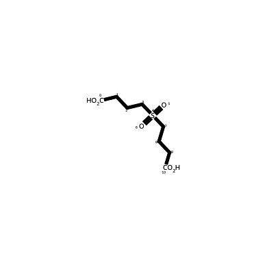 O=C(O)CCCS(=O)(=O)CCCC(=O)O